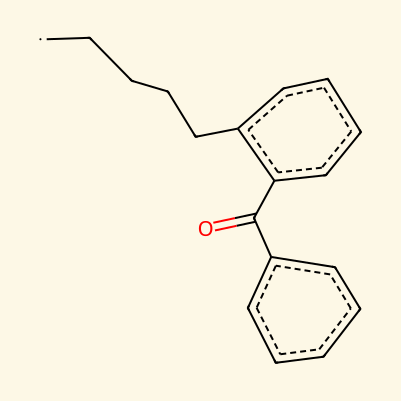 [CH2]CCCCc1ccccc1C(=O)c1ccccc1